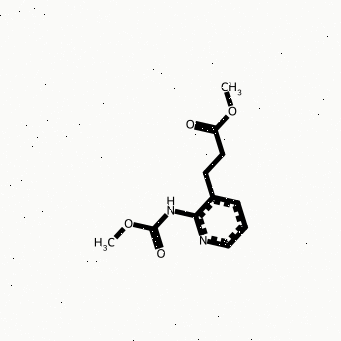 COC(=O)CCc1cccnc1NC(=O)OC